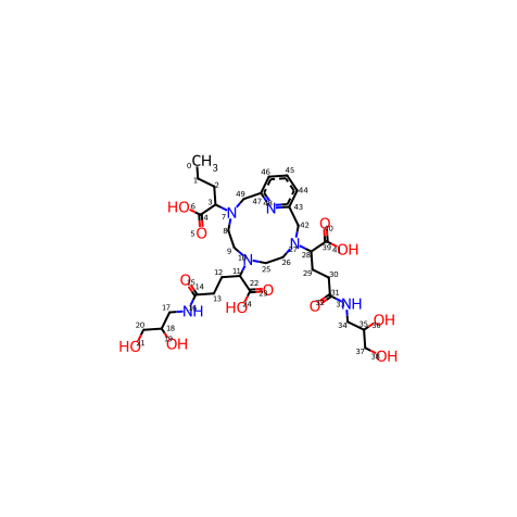 CCCC(C(=O)O)N1CCN(C(CCC(=O)NCC(O)CO)C(=O)O)CCN(C(CCC(=O)NCC(O)CO)C(=O)O)Cc2cccc(n2)C1